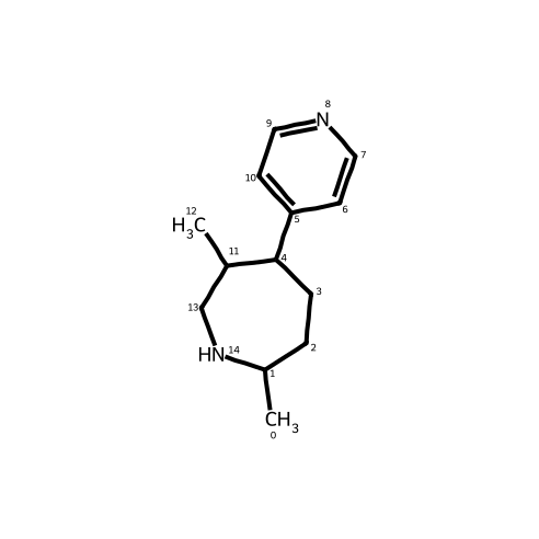 CC1CCC(c2ccncc2)C(C)CN1